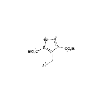 CCOC(=O)c1n[nH]c(C(=O)OCC)c1CC(C)=O